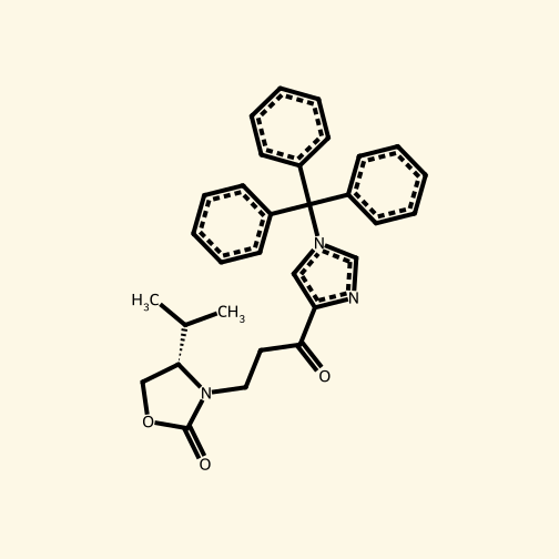 CC(C)[C@H]1COC(=O)N1CCC(=O)c1cn(C(c2ccccc2)(c2ccccc2)c2ccccc2)cn1